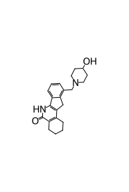 O=c1[nH]c2c(c3c1CCCC3)Cc1c(CN3CCC(O)CC3)cccc1-2